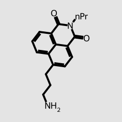 CCCN1C(=O)c2cccc3c(CCCN)ccc(c23)C1=O